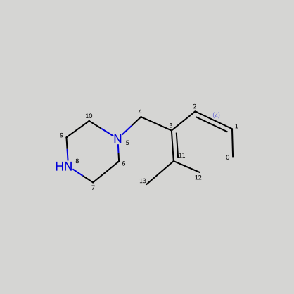 C/C=C\C(CN1CCNCC1)=C(C)C